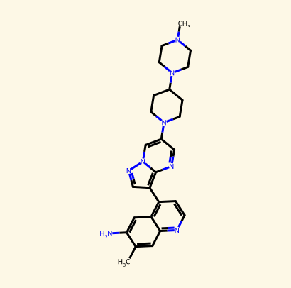 Cc1cc2nccc(-c3cnn4cc(N5CCC(N6CCN(C)CC6)CC5)cnc34)c2cc1N